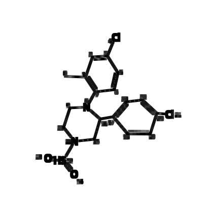 Cc1cc(Cl)ccc1N1CCN([SH](=O)=O)CC1c1ccc(Cl)cc1